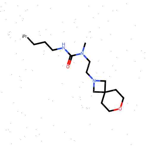 CC(C)CCCNC(=O)N(C)CCN1CC2(CCOCC2)C1